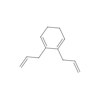 C=CCC1=CCCC=C1CC=C